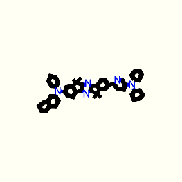 CC1(C)c2cc(-c3ccc(N(c4ccccc4)c4ccccc4)cn3)ccc2-c2nc3c(nc21)-c1ccc(N(c2ccccc2)c2ccc4ccccc4c2)cc1C3(C)C